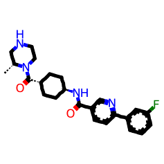 C[C@@H]1CNCCN1C(=O)[C@H]1CC[C@H](NC(=O)c2ccc(-c3cccc(F)c3)nc2)CC1